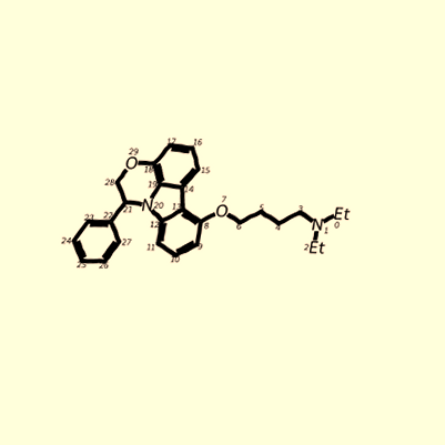 CCN(CC)CCCCOc1cccc2c1c1cccc3c1n2C(c1ccccc1)CO3